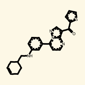 O=C(c1cccs1)c1cnn2c(-c3cccc(NCC4CC=CCC4)c3)ccnc12